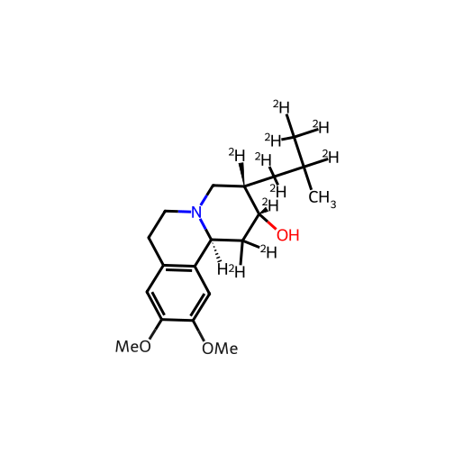 [2H]C([2H])([2H])C([2H])(C)C([2H])([2H])[C@@]1([2H])CN2CCc3cc(OC)c(OC)cc3[C@@H]2C([2H])([2H])[C@@]1([2H])O